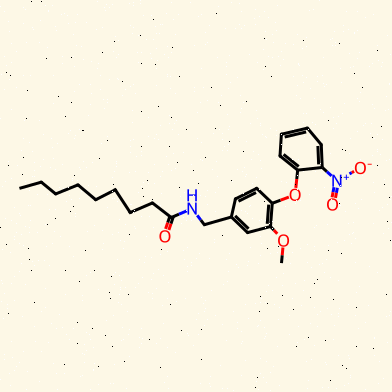 CCCCCCCCC(=O)NCc1ccc(Oc2ccccc2[N+](=O)[O-])c(OC)c1